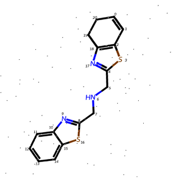 C1=Cc2sc(CNCc3nc4ccccc4s3)nc2CC1